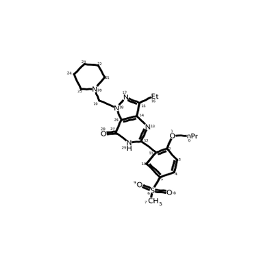 CCCOc1ccc(S(C)(=O)=O)cc1-c1nc2c(CC)nn(CN3CCCCC3)c2c(=O)[nH]1